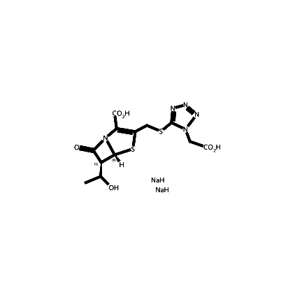 CC(O)[C@H]1C(=O)N2C(C(=O)O)=C(CSc3nnnn3CC(=O)O)S[C@H]12.[NaH].[NaH]